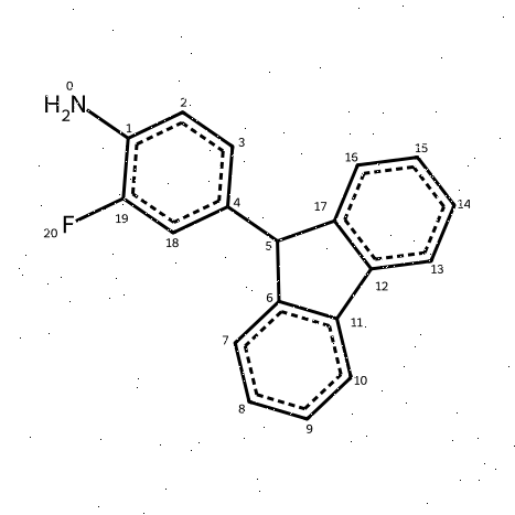 Nc1ccc(C2c3ccccc3-c3ccccc32)cc1F